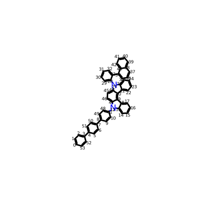 c1ccc(-c2ccc(-c3ccc(-n4c5ccccc5c5c6c7ccccc7n(-c7ccccc7-c7cccc8ccccc78)c6ccc54)cc3)cc2)cc1